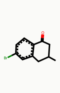 CC1CC(=O)c2ccc(Br)cc2C1